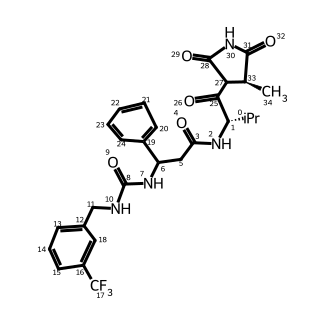 CC(C)[C@H](NC(=O)CC(NC(=O)NCc1cccc(C(F)(F)F)c1)c1ccccc1)C(=O)C1C(=O)NC(=O)[C@H]1C